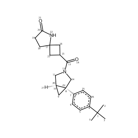 CC(C)(C)c1ccc([C@]23C[C@H]2CN(C(=O)C2CC4(CCC(=O)N4)C2)C3)cc1